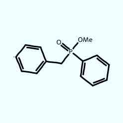 COP(=O)(Cc1cc[c]cc1)c1ccccc1